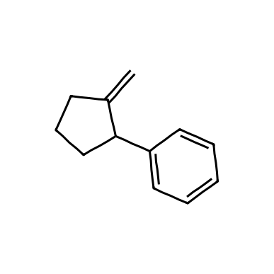 C=C1CCCC1c1ccccc1